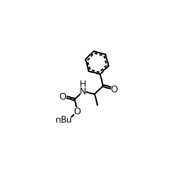 CCCCOC(=O)NC(C)C(=O)c1ccccc1